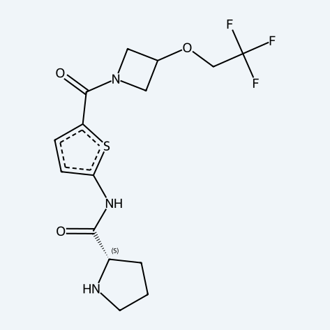 O=C(Nc1ccc(C(=O)N2CC(OCC(F)(F)F)C2)s1)[C@@H]1CCCN1